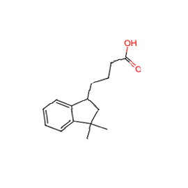 CC1(C)CC(CCCC(=O)O)c2ccccc21